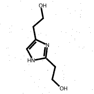 OCCc1c[nH]c(CCO)n1